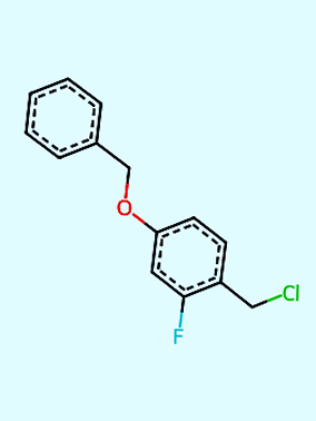 Fc1cc(OCc2ccccc2)ccc1CCl